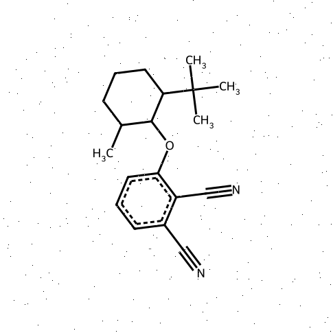 CC1CCCC(C(C)(C)C)C1Oc1cccc(C#N)c1C#N